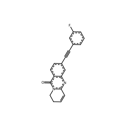 O=c1c2ccc(C#Cc3cccc(F)c3)cc2nc2n1CCC=C2